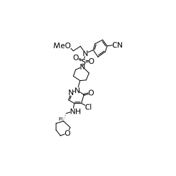 COCCN(c1ccc(C#N)cc1)S(=O)(=O)N1CCC(n2ncc(NC[C@H]3CCCOC3)c(Cl)c2=O)CC1